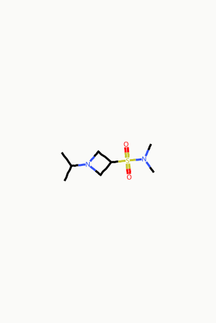 CC(C)N1CC(S(=O)(=O)N(C)C)C1